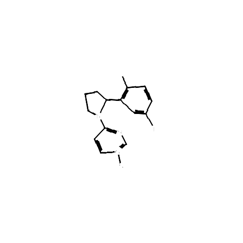 N[n+]1ccc(N2CCCC2c2cc(F)ccc2F)nc1